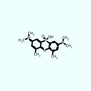 CC1=CC(=[N+](C)C)C=C2C1=Nc1c(C)cc(N(C)C)cc1P2(=O)O